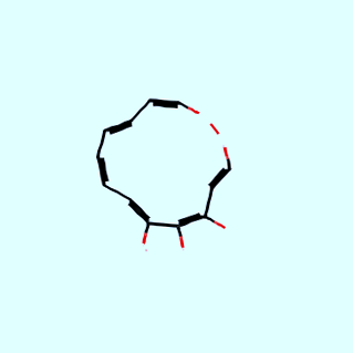 OC1=C\C=C/C=C/C=C\OO/C=C/C(O)=C\1O